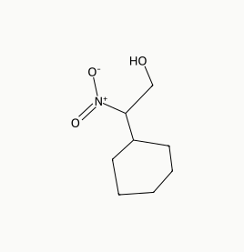 O=[N+]([O-])C(CO)C1CCCCC1